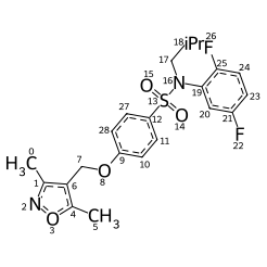 Cc1noc(C)c1COc1ccc(S(=O)(=O)N(CC(C)C)c2cc(F)ccc2F)cc1